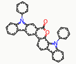 O=c1oc2c(ccc3c4ccccc4n(-c4ccccc4)c32)c2cc3c4ccccc4n(-c4ccccc4)c3cc12